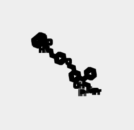 CC(C)N(CC[C@H](c1ccccc1)c1cc(CCOc2ccc(CCNC(=O)C34CC5CC(CC(C5)C3)C4)cc2)ccc1O)C(C)C